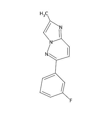 Cc1cn2nc(-c3cccc(F)c3)ccc2n1